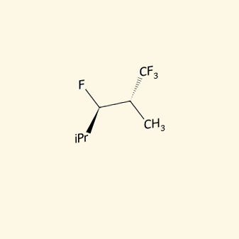 CC(C)[C@@H](F)[C@@H](C)C(F)(F)F